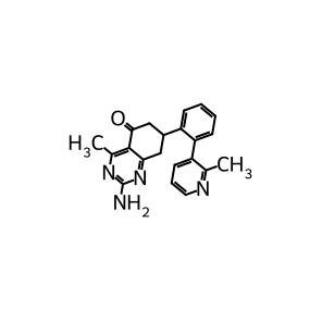 Cc1ncccc1-c1ccccc1C1CC(=O)c2c(C)nc(N)nc2C1